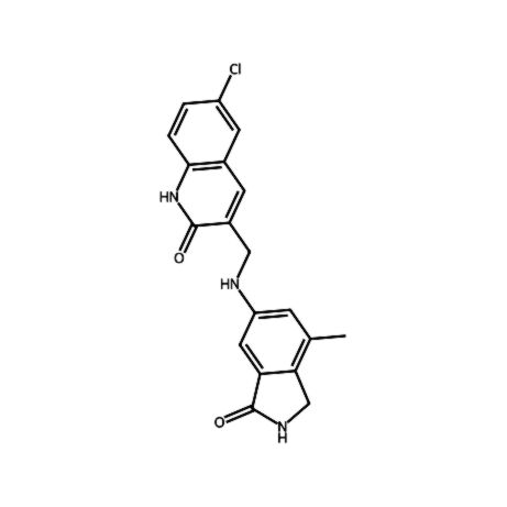 Cc1cc(NCc2cc3cc(Cl)ccc3[nH]c2=O)cc2c1CNC2=O